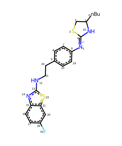 CCCCC1CS/C(=N\c2ccc(CCNc3nc4ccc(F)cc4s3)cc2)N1